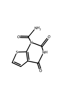 NC(=O)n1c(=O)[nH]c(=O)c2ccsc21